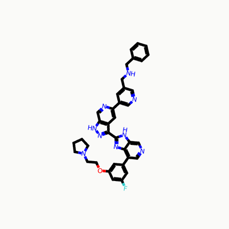 Fc1cc(OCCN2CCCC2)cc(-c2cncc3[nH]c(-c4n[nH]c5cnc(-c6cncc(CNCc7ccccc7)c6)cc45)nc23)c1